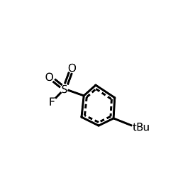 CC(C)(C)c1ccc(S(=O)(=O)F)cc1